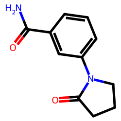 NC(=O)c1cccc(N2CCCC2=O)c1